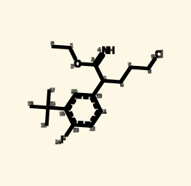 CCOC(=N)C(CCCCl)c1ccc(F)c(C(C)(C)C)c1